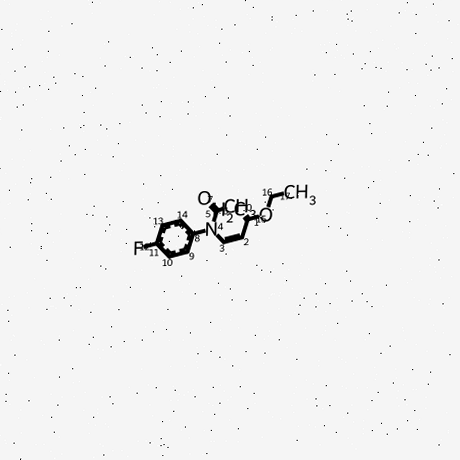 C=C(/C=C\N(C(C)=O)c1ccc(F)cc1)OCC